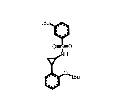 CC(C)(C)Oc1ccccc1C1CC1NS(=O)(=O)c1cccc(C(C)(C)C)c1